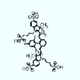 CC1(C)C(/C=C/C2=C(c3c(F)cc(F)cc3F)C(=C/C=C3/N(CCCCS(=O)(=O)O)c4ccc(S(=O)(=O)O)cc4C3(C)C)/CCC2)=[N+](CCCCS(=O)(=O)O)c2ccc(S(=O)(=O)O)cc21